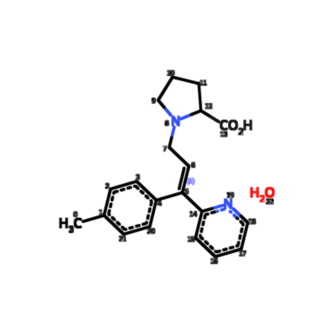 Cc1ccc(/C(=C\CN2CCCC2C(=O)O)c2ccccn2)cc1.O